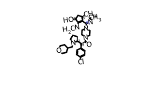 C=NC1=C(/C(=N\C)N2CCN(C(=O)[C@@H](c3ccc(Cl)cc3)[C@@H]3CCCN3CC3CCOCC3)CC2)[C@H](C)C[C@H]1O